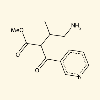 COC(=O)C(C(=O)c1cccnc1)C(C)CN